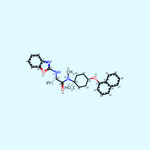 CC(C)[C@H](Nc1nc2ccccc2o1)C(=O)N(C)[C@]1(C(=O)O)CC[C@H](Oc2cccc3ccccc23)CC1